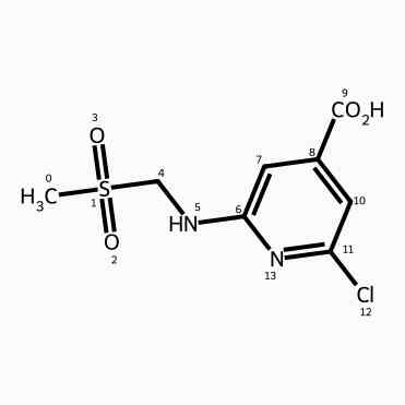 CS(=O)(=O)CNc1cc(C(=O)O)cc(Cl)n1